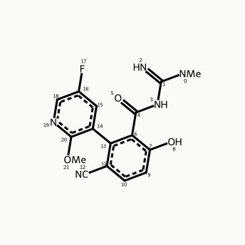 CNC(=N)NC(=O)c1c(O)ccc(C#N)c1-c1cc(F)cnc1OC